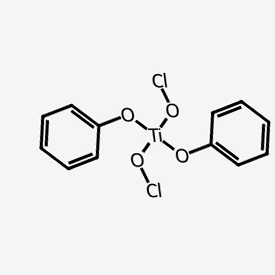 Cl[O][Ti]([O]Cl)([O]c1ccccc1)[O]c1ccccc1